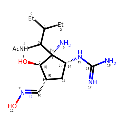 CCC(CC)C(NC(C)=O)[C@]1(N)[C@H](O)[C@@H](/C=N/O)C[C@H]1NC(=N)N